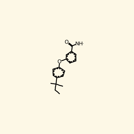 CCC(C)(C)c1ccc(Oc2cccc(C([NH])=O)c2)cc1